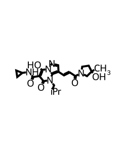 CC(C)Cn1c(=O)c(C(=O)NC2CC2)c(O)n2ncc(/C=C/C(=O)N3CCC(C)(O)C3)c12